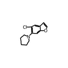 Clc1cc2ccoc2cc1N1CCCCC1